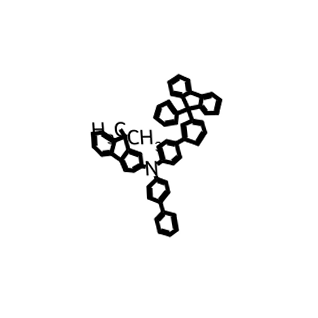 CC1(C)c2ccccc2-c2ccc(N(c3ccc(-c4ccccc4)cc3)c3ccc(-c4cccc(C5(c6ccccc6)c6ccccc6-c6ccccc65)c4)cc3)cc21